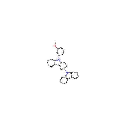 COc1cccc(-n2c3ccccc3c3cc(-n4c5ccccc5c5ccccc54)ccc32)c1